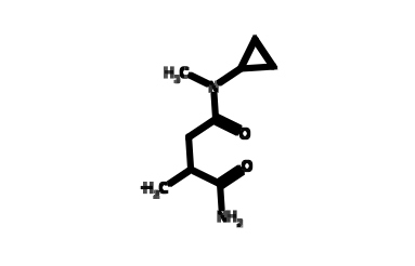 [CH2]C(CC(=O)N(C)C1CC1)C(N)=O